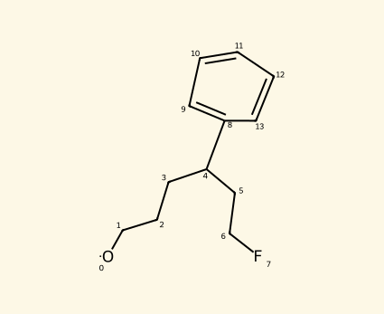 [O]CCCC(CCF)c1ccccc1